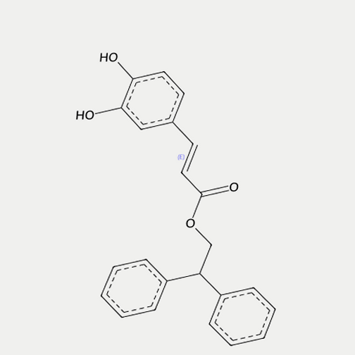 O=C(/C=C/c1ccc(O)c(O)c1)OCC(c1ccccc1)c1ccccc1